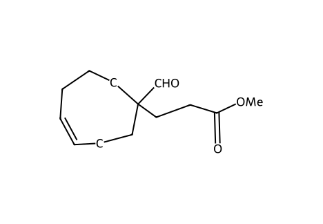 COC(=O)CCC1(C=O)CC/C=C\CCC1